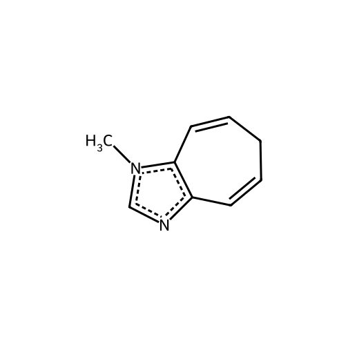 Cn1cnc2c1C=CCC=C2